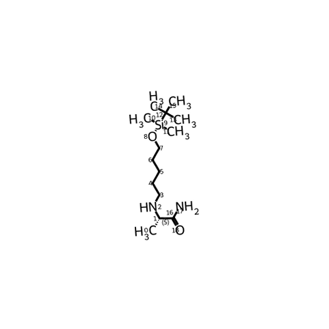 C[C@H](NCCCCCO[Si](C)(C)C(C)(C)C)C(N)=O